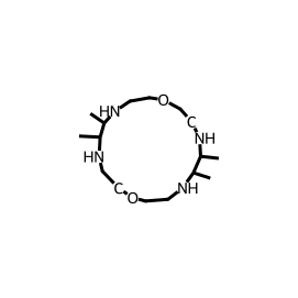 CC1NCCOCCNC(C)C(C)NCCOCCNC1C